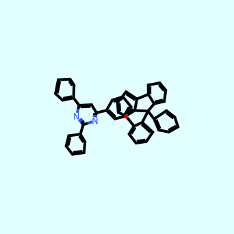 c1ccc(-c2cc(-c3cccc(-c4ccccc4C4(c5ccccc5)c5ccccc5-c5ccccc54)c3)nc(-c3ccccc3)n2)cc1